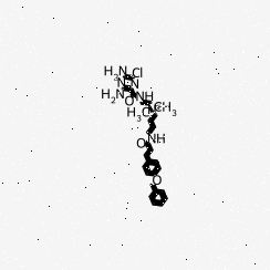 C[N+](C)(CCCCNC(=O)CCc1ccc(OCc2ccccc2)cc1)CCNC(=O)c1nc(Cl)c(N)nc1N